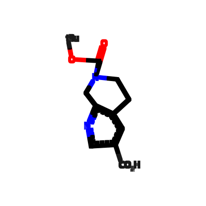 CC(C)(C)OC(=O)N1CCc2cc(C(=O)O)cnc2C1